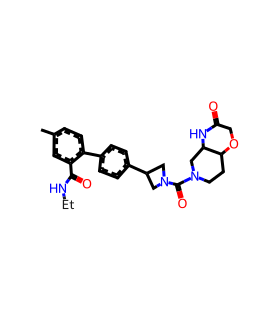 CCNC(=O)c1cc(C)ccc1-c1ccc(C2CN(C(=O)N3CCC4OCC(=O)NC4C3)C2)cc1